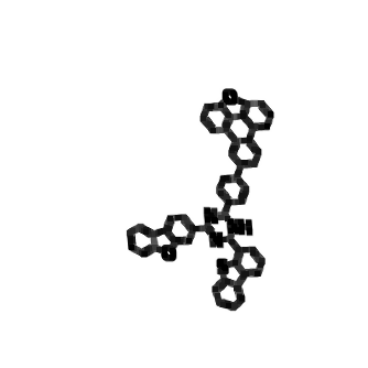 c1ccc2c(c1)oc1cc(C3=NC(c4cccc5c4sc4ccccc45)NC(c4ccc(-c5ccc6c(c5)c5cccc7oc8cccc6c8c75)cc4)=N3)ccc12